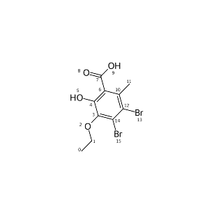 CCOc1c(O)c(C(=O)O)c(C)c(Br)c1Br